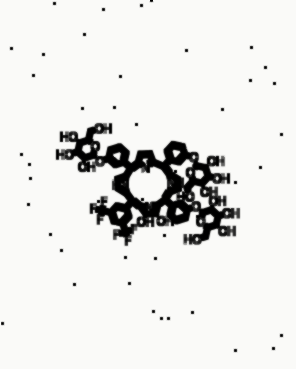 OCC1O[C@@H](Oc2cccc(-c3c4nc(c(-c5cccc(O[C@@H]6OC(CO)[C@@H](O)C(O)[C@@H]6O)c5)c5ccc([nH]5)c(-c5cc(C(F)(F)F)cc(C(F)(F)F)c5)c5nc(c(-c6cccc(O[C@@H]7OC(CO)[C@@H](O)C(O)[C@@H]7O)c6)c6ccc3[nH]6)[C@@H](O)[C@H]5O)C=C4)c2)[C@@H](O)C(O)[C@@H]1O